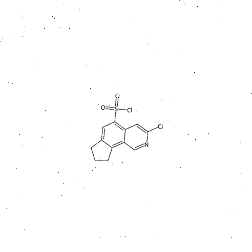 O=S(=O)(Cl)c1cc2c(c3cnc(Cl)cc13)CCC2